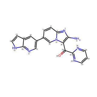 Nc1nc2ccc(-c3cnc4[nH]ccc4c3)cn2c1C(=O)c1ncccn1